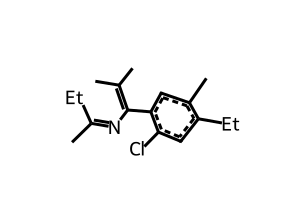 CC/C(C)=N\C(=C(C)C)c1cc(C)c(CC)cc1Cl